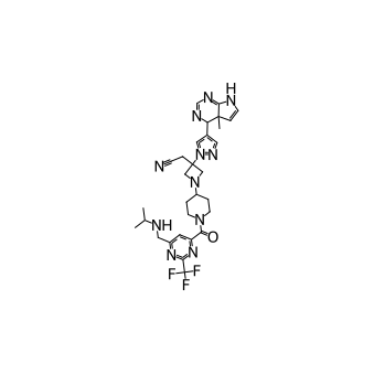 CC(C)NCc1cc(C(=O)N2CCC(N3CC(CC#N)(n4cc(C5N=CN=C6NC=CC65C)cn4)C3)CC2)nc(C(F)(F)F)n1